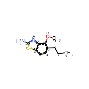 CCCc1ccc2sc(N)nc2c1OC